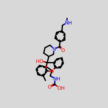 CNCc1ccc(C(=O)N2CCCC(C(O)(CCCNC(=O)O)c3ccccc3Oc3ccccc3C)C2)cc1